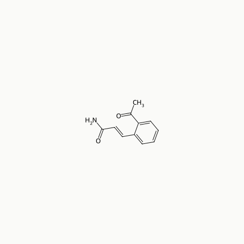 CC(=O)c1ccccc1C=CC(N)=O